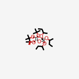 CCC(C)O[Si](OC(C)CC)(OC(C)CC)[O][Ti]([O]C(C)(C)C)([O]C(C)(C)C)[O]C(C)(C)C